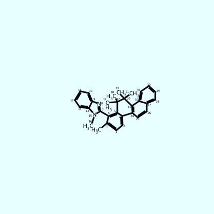 Cc1ccc2c(c1-c1nc3ccccc3n1C)C(C)(C)C(C)(C)c1c-2ccc2ccccc12